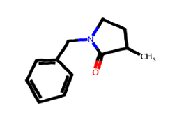 CC1CCN(Cc2ccccc2)C1=O